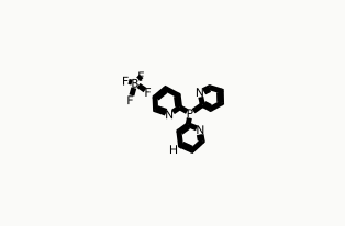 F[B-](F)(F)F.[H+].c1ccc(P(c2ccccn2)c2ccccn2)nc1